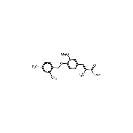 COC(=O)/C(=C/c1ccc(OCc2ccc(C(F)(F)F)cc2C(F)(F)F)c(OC)c1)C(F)(F)F